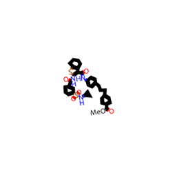 COC(=O)c1ccc(CCCc2ccc(NC(=O)c3c(NC(=O)c4cccc(S(=O)(=O)NC5CC5)c4)sc4c3CCCC4)cc2)cc1